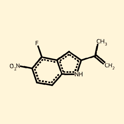 C=C(C)c1cc2c(F)c([N+](=O)[O-])ccc2[nH]1